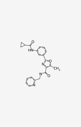 Cc1oc(-c2cccc(NC(=O)C3CC3)c2)nc1C(=O)[N]Cc1ccccn1